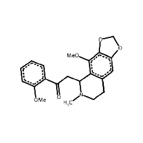 COc1ccccc1C(=O)CC1c2c(cc3c(c2OC)OCO3)CCN1C